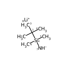 CC(C)(C)[Si](C)(C)[NH-].[Li+]